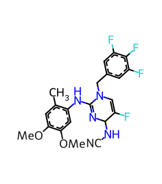 COc1cc(C)c(NC2=NC(NC#N)C(F)=CN2Cc2cc(F)c(F)c(F)c2)cc1OC